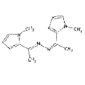 CC(=NN=C(C)c1cccn1C)c1cccn1C